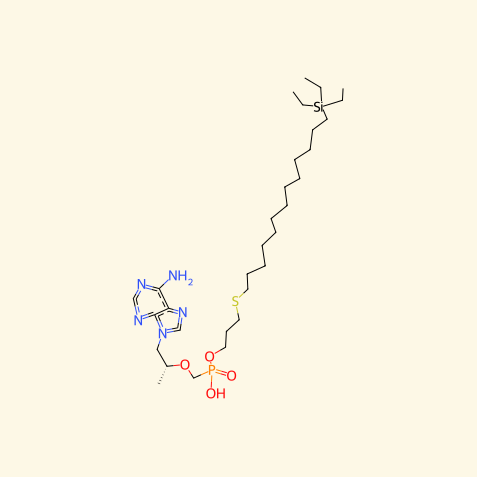 CC[Si](CC)(CC)CCCCCCCCCCCCCSCCCOP(=O)(O)CO[C@H](C)Cn1cnc2c(N)ncnc21